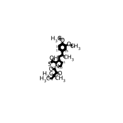 CCC(C)(C)C(=O)C(=O)N1CCC(C[C@H](C)c2ccc(OC)c(OC)c2)C1C(O)=S